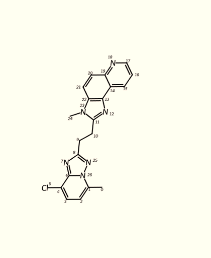 Cc1ccc(Cl)c2nc(CCc3nc4c5cccnc5ccc4n3C)nn12